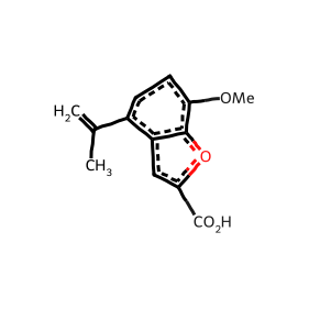 C=C(C)c1ccc(OC)c2oc(C(=O)O)cc12